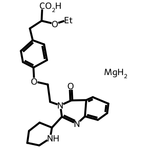 CCOC(Cc1ccc(OCCn2c(C3CCCCN3)nc3ccccc3c2=O)cc1)C(=O)O.[MgH2]